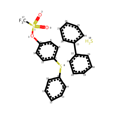 O=S(=O)(Oc1ccc(Sc2ccccc2)cc1)C(F)(F)F.S.c1ccc(-c2ccccc2)cc1